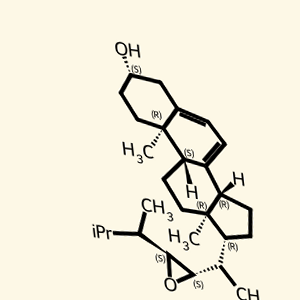 CC(C)C(C)[C@@H]1O[C@H]1C(C)[C@H]1CC[C@H]2C3=CC=C4C[C@@H](O)CC[C@]4(C)[C@H]3CC[C@]12C